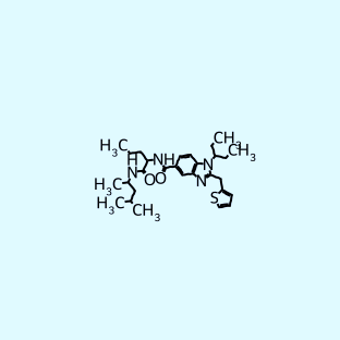 CCCC(NC(=O)c1ccc2c(c1)nc(Cc1cccs1)n2C(CC)CC)C(=O)NC(C)CC(C)C